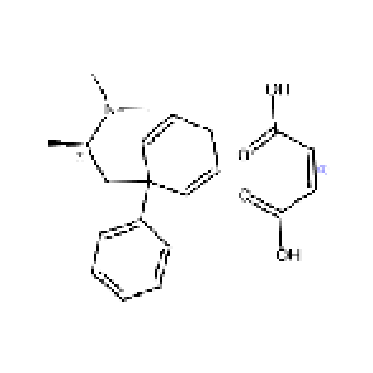 C[C@H](CC1(c2ccccc2)C=CCC=C1)N(C)C.O=C(O)/C=C\C(=O)O